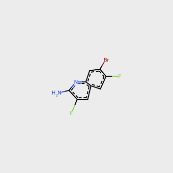 Nc1nc2cc(Br)c(F)cc2cc1F